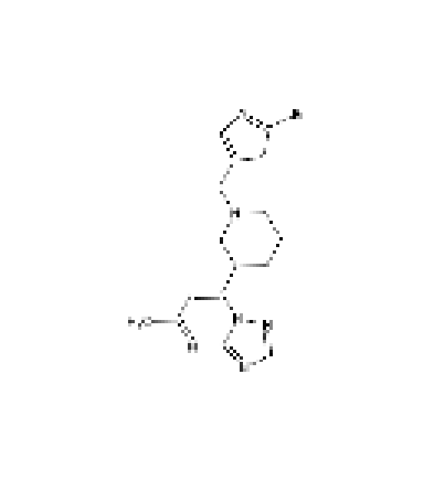 Cc1cc(C2CCCN(Cc3cnc(Br)s3)C2)n2ncnc2n1